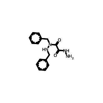 NNC(=O)C(=O)N(Cc1ccccc1)NCc1ccccc1